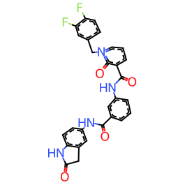 O=C1Cc2cc(NC(=O)c3cccc(NC(=O)c4cccn(Cc5ccc(F)c(F)c5)c4=O)c3)ccc2N1